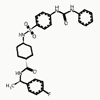 C[C@@H](NC(=O)[C@H]1CC[C@H](NS(=O)(=O)c2ccc(NC(=O)Nc3ccccc3)cc2)CC1)c1ccc(F)cc1